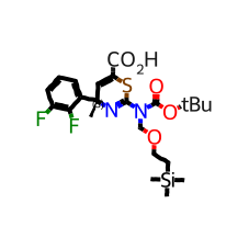 CC(C)(C)OC(=O)N(COCC[Si](C)(C)C)C1=N[C@](C)(c2cccc(F)c2F)C=C(C(=O)O)S1